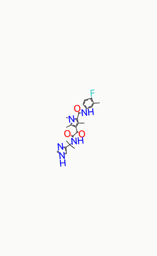 Cc1cc(NC(=O)c2c(C)c(C(=O)C(=O)NC(C)(C)c3c[nH]cn3)c(C)n2C)ccc1F